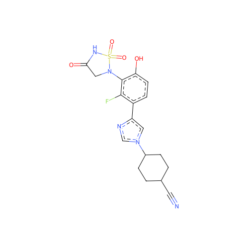 N#CC1CCC(n2cnc(-c3ccc(O)c(N4CC(=O)NS4(=O)=O)c3F)c2)CC1